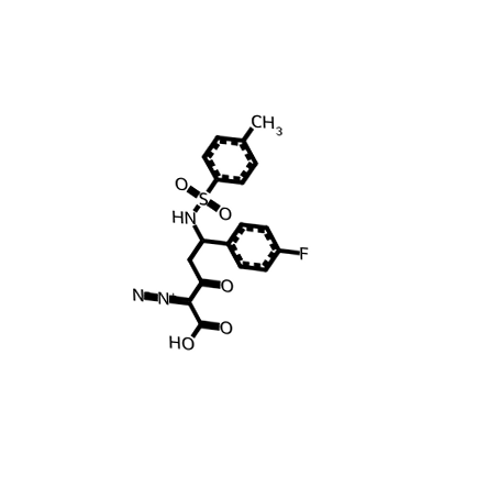 Cc1ccc(S(=O)(=O)NC(CC(=O)C(=[N+]=[N-])C(=O)O)c2ccc(F)cc2)cc1